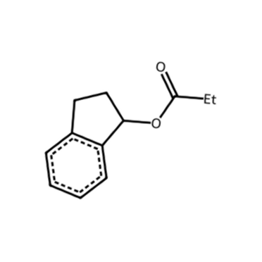 CCC(=O)OC1CCc2ccccc21